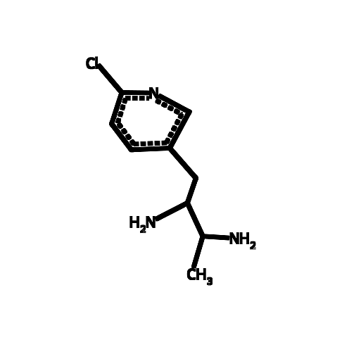 CC(N)C(N)Cc1ccc(Cl)nc1